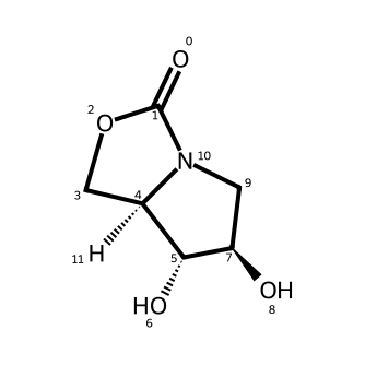 O=C1OC[C@@H]2[C@@H](O)[C@H](O)CN12